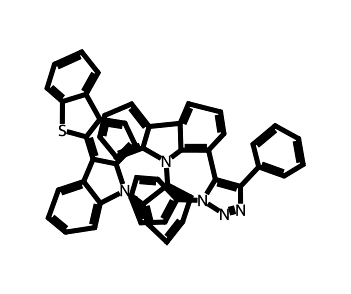 c1ccc(-c2nnn(-c3ccccc3)c2-c2cccc3c4ccccc4n(-c4ccccc4-n4c5ccccc5c5c6sc7ccccc7c6ccc54)c23)cc1